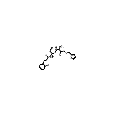 CCCCC(NCC(CC(C)C)NC(=O)OCc1ccccc1F)C(=O)CSCc1ccco1